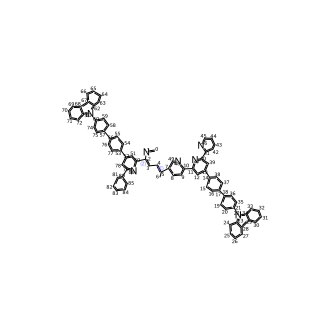 C=N/C(=C\C=C(/C)c1ccc(-c2cc(-c3ccc(-c4ccc(-n5c6ccccc6c6ccccc65)cc4)cc3)cc(-c3ccccn3)n2)nc1)c1cc(-c2ccc(-c3ccc(-n4c5ccccc5c5ccccc54)cc3)cc2)cc(-c2ccccc2)n1